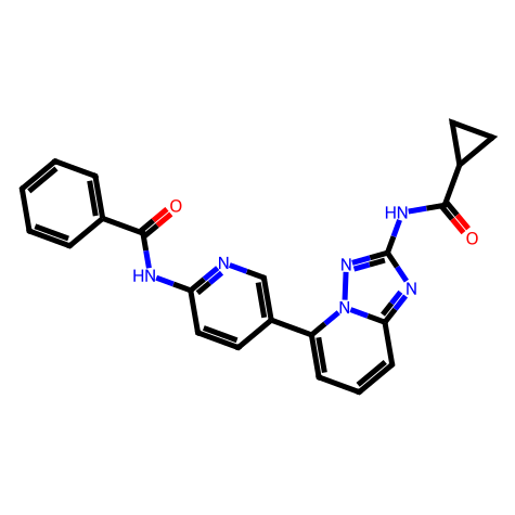 O=C(Nc1ccc(-c2cccc3nc(NC(=O)C4CC4)nn23)cn1)c1ccccc1